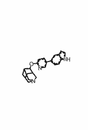 c1cc2cc(-c3ccc(OC4C5CC6CC4CN(C6)C5)nc3)ccc2[nH]1